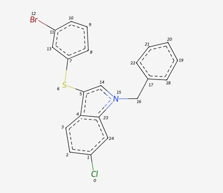 Clc1ccc2c(Sc3cccc(Br)c3)cn(Cc3ccccc3)c2c1